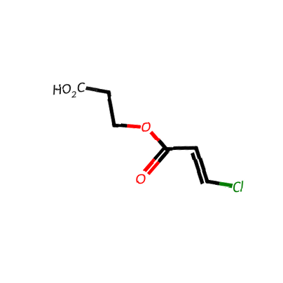 O=C(O)CCOC(=O)C=CCl